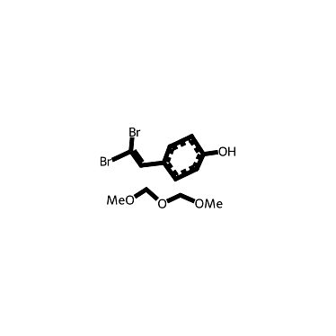 COCOCOC.Oc1ccc(C=C(Br)Br)cc1